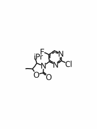 CC(C)C1C(C)OC(=O)N1c1nc(Cl)ncc1F